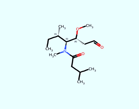 CC[C@H](C)[C@@H]([C@@H](CC=O)OC)N(C)C(=O)CC(C)C